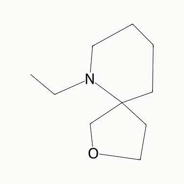 CCN1CCCCC12CCOC2